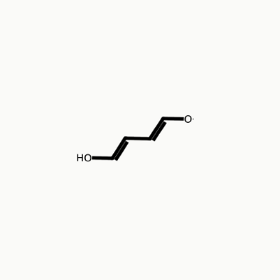 [O]C=CC=CO